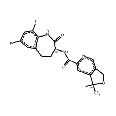 C[C@@]1(C(F)(F)F)OCc2cnc(C(=O)N[C@H]3CCc4cc(F)cc(F)c4NC3=O)cc21